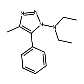 CCN(CC)n1nnc(C)c1-c1ccccc1